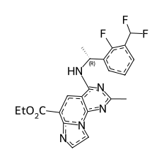 CCOC(=O)c1cc2c(N[C@H](C)c3cccc(C(F)F)c3F)nc(C)nc2n2ccnc12